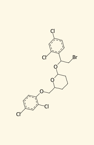 Clc1ccc(OCC2CCCC(OC(CBr)c3ccc(Cl)cc3Cl)O2)c(Cl)c1